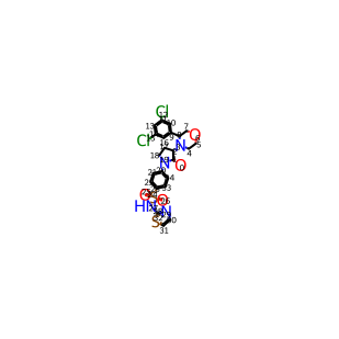 O=C1[C@@H](N2CCOCC2c2cc(Cl)cc(Cl)c2)CCN1c1ccc(S(=O)(=O)Nc2nccs2)cc1